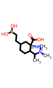 CC(C1CCC(CCB(O)O)C[C@]1(N)C(=O)O)N(C)C